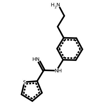 N=C(Nc1cccc(CCN)c1)c1cccs1